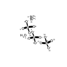 O.O=S(=O)([O-])[O-].O=S(=O)([O-])[O-].O=S(=O)([O-])[O-].[Bi+3].[Bi+3]